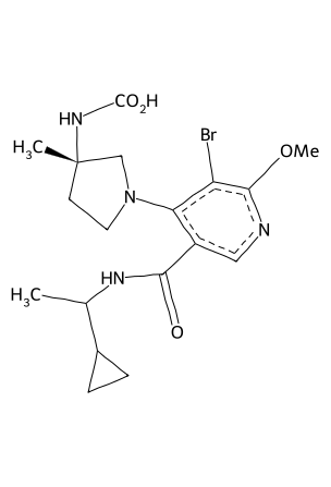 COc1ncc(C(=O)NC(C)C2CC2)c(N2CC[C@](C)(NC(=O)O)C2)c1Br